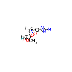 C[C@@H](c1ccc(-c2cnc(C#N)cn2)cc1)N1CCC(CC(C)(C)O)(c2ccc(F)cc2)OC1=O